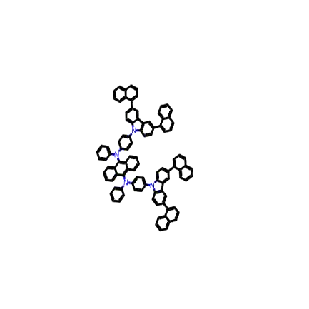 C1=CC(N(c2ccccc2)c2c3ccccc3c(N(c3ccccc3)c3ccc(-n4c5ccc(-c6cccc7ccccc67)cc5c5cc(-c6cccc7ccccc67)ccc54)cc3)c3ccccc23)CC=C1n1c2ccc(-c3cccc4ccccc34)cc2c2cc(-c3cccc4ccccc34)ccc21